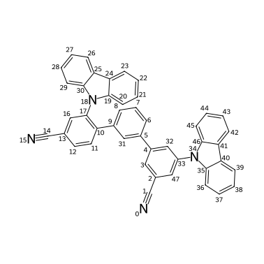 N#Cc1cc(-c2cccc(-c3ccc(C#N)cc3-n3c4ccccc4c4ccccc43)c2)cc(-n2c3ccccc3c3ccccc32)c1